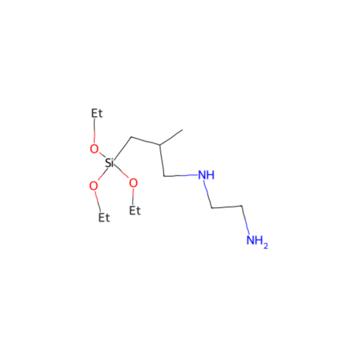 CCO[Si](CC(C)CNCCN)(OCC)OCC